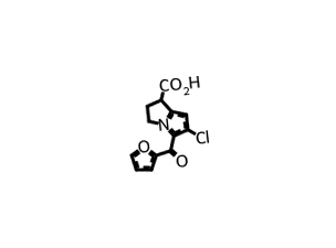 O=C(c1ccco1)c1c(Cl)cc2n1CCC2C(=O)O